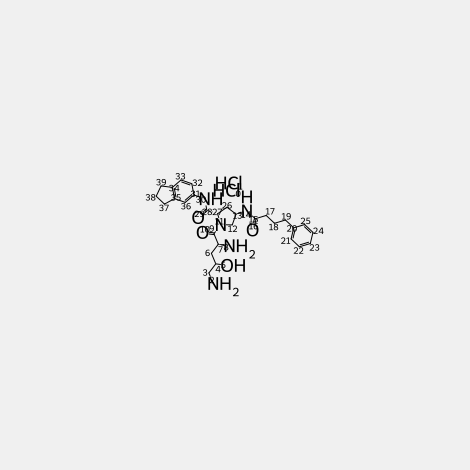 Cl.Cl.NCC(O)C[C@H](N)C(=O)N1C[C@H](NC(=O)CCCc2ccccc2)C[C@H]1C(=O)Nc1ccc2c(c1)CCC2